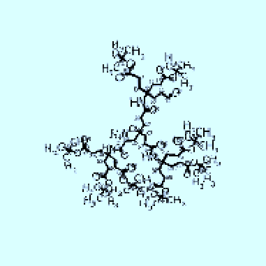 CC(C)(C)OC(=O)CCC(CCC=O)(CCC(=O)OC(C)(C)C)NC(=O)CCC(CCC(=O)NC(CCC(=O)OC(C)(C)C)(CCC(=O)OC(C)(C)C)CCC(=O)OC(C)(C)C)(CCC(=O)NC(CCC(=O)OC(C)(C)C)(CCC(=O)OC(C)(C)C)CCC(=O)OC(C)(C)C)ON